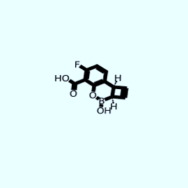 O=C(O)c1c(F)ccc2c1OB(O)[C@@H]1C#C[C@H]21